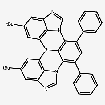 CC(C)(C)c1cc2c3c(c1)ncn3-c1c(-c3ccccc3)cc(-c3ccccc3)c3c1B2c1cc(C(C)(C)C)cc2ncn-3c12